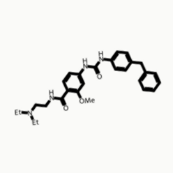 CCN(CC)CCNC(=O)c1ccc(NC(=O)Nc2ccc(Cc3ccccc3)cc2)cc1OC